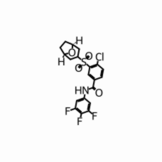 O=C(Nc1cc(F)c(F)c(F)c1)c1ccc(Cl)c(S(=O)(=O)C2C[C@@H]3CC[C@@H](C2)O3)c1